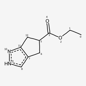 CCOC(=O)C1Cc2c[nH]nc2C1